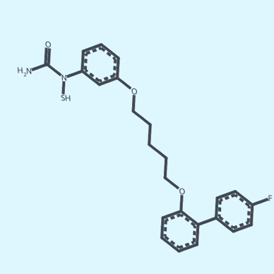 NC(=O)N(S)c1cccc(OCCCCCOc2ccccc2-c2ccc(F)cc2)c1